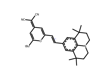 CC(C)(C)C1=CC(=C(C#N)C#N)C=C(/C=C/c2cc3c4c(c2)C(C)(C)CCN4CCC3(C)C)O1